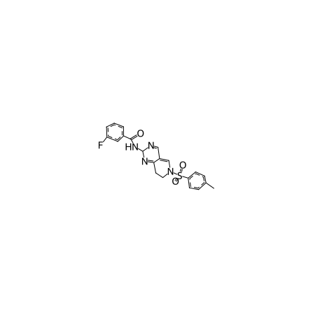 Cc1ccc(S(=O)(=O)N2C=C3C=NC(NC(=O)c4cccc(F)c4)N=C3CC2)cc1